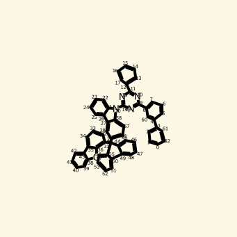 c1ccc(-c2cccc(-c3nc(-c4ccccc4)nc(-n4c5ccccc5c5cc(C6(c7cccc8c7oc7ccccc78)c7ccccc7-c7ccccc76)ccc54)n3)c2)cc1